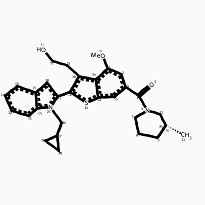 COc1cc(C(=O)N2CCC[C@@H](C)C2)cc2sc(-c3cc4ccccc4n3CC3CC3)c(CCO)c12